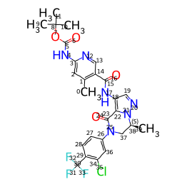 Cc1cc(NC(=O)OC(C)(C)C)ncc1C(=O)Nc1cnn2c1C(=O)N(c1ccc(C(F)(F)F)c(Cl)c1)C[C@@H]2C